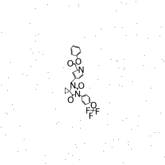 O=C(Oc1ccccc1)c1cc(CN2C(=O)N(c3ccc(OC(F)(F)F)cc3)C(=O)C23CC3)ccn1